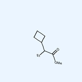 CCC(C(=O)OC)C1CCC1